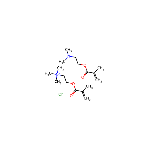 C=C(C)C(=O)OCCN(C)C.C=C(C)C(=O)OCC[N+](C)(C)C.[Cl-]